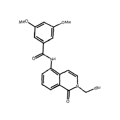 COc1cc(OC)cc(C(=O)Nc2cccc3c(=O)n(CC(C)(C)C)ccc23)c1